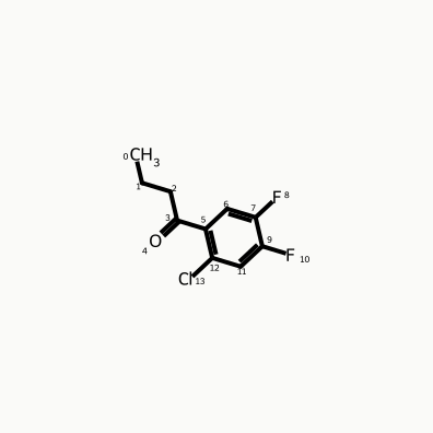 CCCC(=O)c1cc(F)c(F)cc1Cl